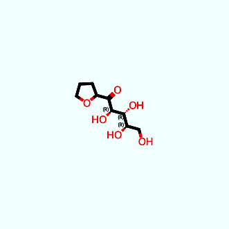 O=C(C1CCCO1)[C@H](O)[C@H](O)[C@H](O)CO